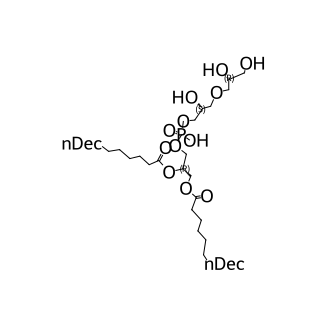 CCCCCCCCCCCCCCCC(=O)OC[C@H](COP(=O)(O)OC[C@@H](O)COC[C@H](O)CO)OC(=O)CCCCCCCCCCCCCCC